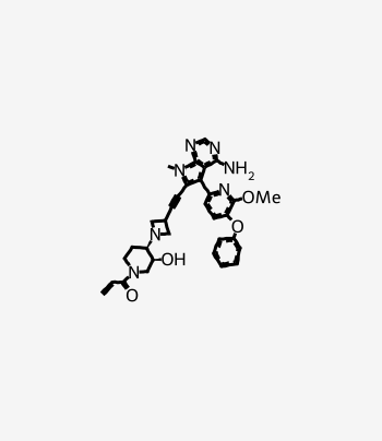 C=CC(=O)N1CC[C@@H](N2CC(C#Cc3c(-c4ccc(Oc5ccccc5)c(OC)n4)c4c(N)ncnc4n3C)C2)[C@@H](O)C1